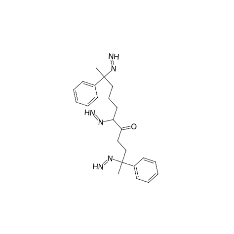 CC(CCCC(N=N)C(=O)CCC(C)(N=N)c1ccccc1)(N=N)c1ccccc1